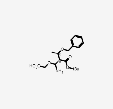 C[C@@H](OCc1ccccc1)[C@@H](C(=O)OC(C)(C)C)C(N)OCC(=O)O